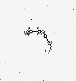 C=CCCc1cnc(C#Cc2ccc(C(F)(F)Oc3cc(F)c(C#Cc4cc(F)c(OC(F)(F)F)c(F)c4)c(F)c3)cc2)nc1